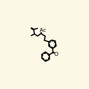 C=C(C)C(C)CC(CCc1cccc(C(=O)c2ccccc2)c1)C(C)=O